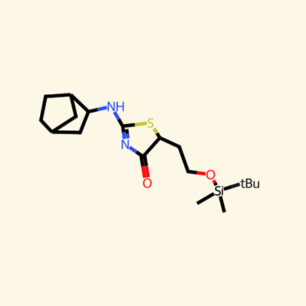 CC(C)(C)[Si](C)(C)OCCC1SC(NC2CC3CCC2C3)=NC1=O